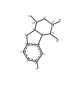 Cc1ccc2c(c1)C1C(C2)C(C)CN(C)C1C